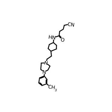 Cc1cccc(N2CCN(CCC3CCC(NC(=O)CCCC#N)CC3)CC2)c1